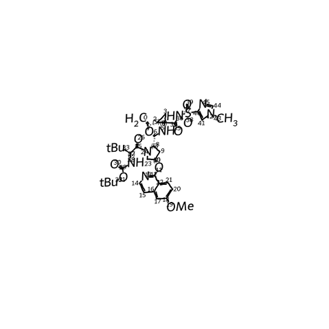 C=C[C@@H]1C[C@]1(NC(=O)[C@@H]1C[C@@H](Oc2nccc3cc(OC)ccc23)CN1C(=O)[C@@H](NC(=O)OC(C)(C)C)C(C)(C)C)C(=O)NS(=O)(=O)c1cn(C)cn1